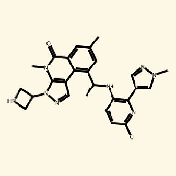 Cc1cc(C(C)Nc2ccc(Cl)nc2-c2cnn(C)c2)c2c(c1)c(=O)n(C)c1c2cnn1C1CNC1